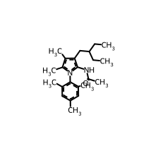 CCC(CC)Cc1c(C)c(C)n(-c2c(C)cc(C)cc2C)c1NC(C)=O